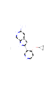 Cn1c(-c2cnccc2OC2CC2)cc2cc(N)ncc21